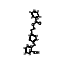 O=C(OCCc1ccc(Cc2ccccc2O)cc1)c1ccccc1